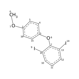 COc1ccc(Oc2c(I)c[c]cc2I)cc1